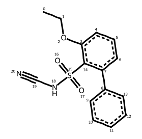 CCOc1cccc(-c2ccccc2)c1S(=O)(=O)NC#N